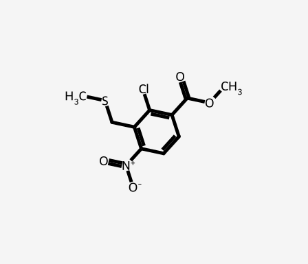 COC(=O)c1ccc([N+](=O)[O-])c(CSC)c1Cl